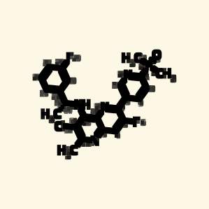 Cc1nc2cc(F)c(-c3ccc(P(C)(C)=O)nc3)nc2c(N[C@H](C)c2cccc(F)c2)c1Cl